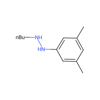 CCCCNNc1cc(C)cc(C)c1